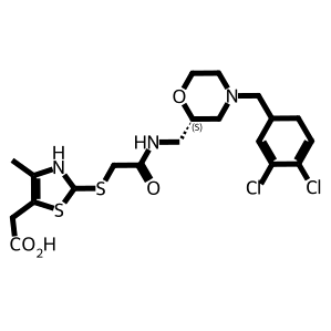 CC1=C(CC(=O)O)SC(SCC(=O)NC[C@H]2CN(CC3C=C(Cl)C(Cl)=CC3)CCO2)N1